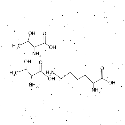 CC(O)C(N)C(=O)O.CC(O)C(N)C(=O)O.NCCCCC(N)C(=O)O